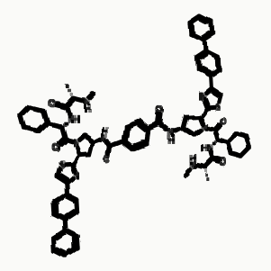 CN[C@@H](C)C(=O)N[C@H](C(=O)N1C[C@@H](NC(=O)c2ccc(C(=O)N[C@H]3C[C@@H](c4nc(-c5ccc(-c6ccccc6)cc5)cs4)N(C(=O)[C@@H](NC(=O)[C@H](C)NC)C4CCCCC4)C3)cc2)C[C@H]1c1nc(-c2ccc(-c3ccccc3)cc2)cs1)C1CCCCC1